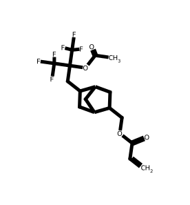 C=CC(=O)OCC1CC2CC1CC2CC(OC(C)=O)(C(F)(F)F)C(F)(F)F